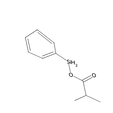 CC(C)C(=O)O[SiH2]c1ccccc1